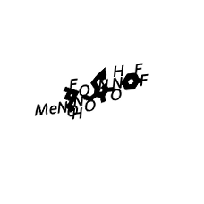 CNC(=O)C1(NC(=O)C(=O)c2c(C)c(C(=O)Nc3ccc(F)c(F)c3)n3c2CC2CC23)CC(C)(F)C1